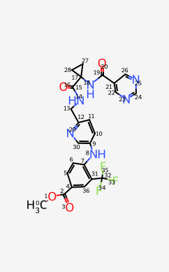 COC(=O)c1ccc(Nc2ccc(CNC(=O)C3(NC(=O)c4cncnc4)CC3)nc2)c(C(F)(F)F)c1